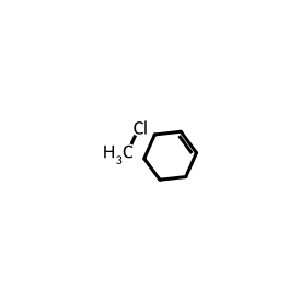 C1=CCCCC1.CCl